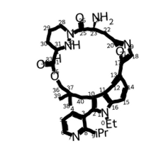 CCn1c(-c2cccnc2C(C)C)c2c3cc(ccc31)-c1cnc(o1)C[C@H](N)C(=O)N1CCC[C@H](N1)C(=O)OCC(C)(C)C2